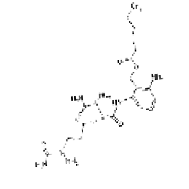 CCCCCC(=O)OCc1c(N)cccc1NC(=O)[C@H](CCCCN(N)C(N)=O)N(N)C(N)=O